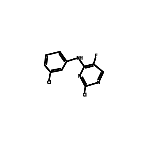 Fc1cnc(Cl)nc1Nc1cccc(Cl)c1